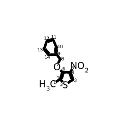 Cc1scc([N+](=O)[O-])c1OCc1ccccc1